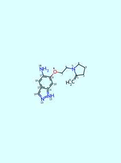 C=C1CCCN1CCOc1cc2[nH]ncc2cc1N